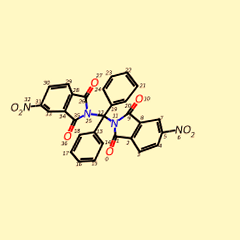 O=C1c2ccc([N+](=O)[O-])cc2C(=O)N1C(c1ccccc1)(c1ccccc1)N1C(=O)c2ccc([N+](=O)[O-])cc2C1=O